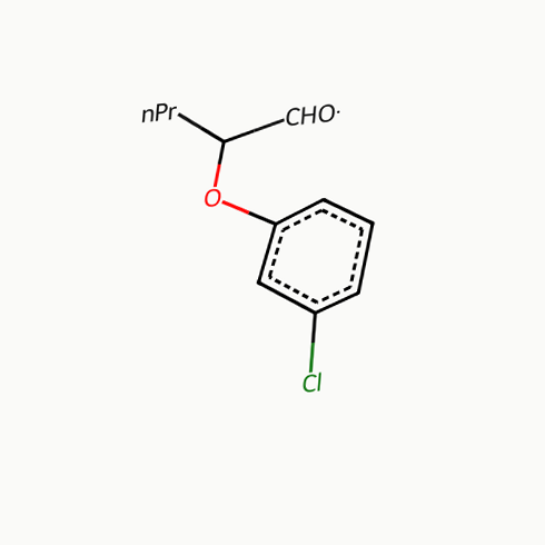 CCCC([C]=O)Oc1cccc(Cl)c1